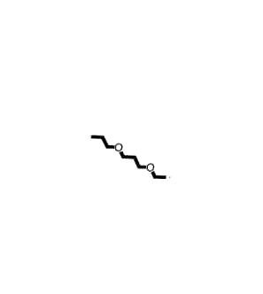 [CH2]COCCCOCCC